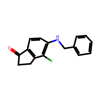 O=C1CCc2c1ccc(NCc1ccccc1)c2F